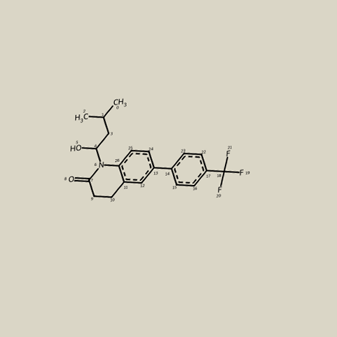 CC(C)CC(O)N1C(=O)CCc2cc(-c3ccc(C(F)(F)F)cc3)ccc21